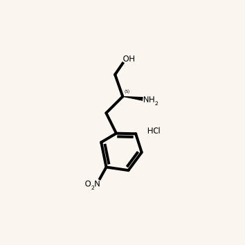 Cl.N[C@H](CO)Cc1cccc([N+](=O)[O-])c1